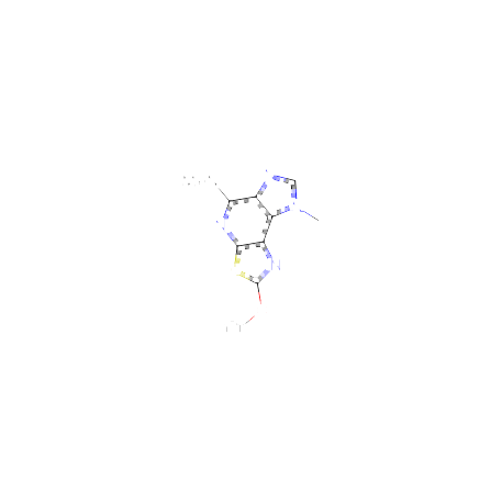 CCCOc1nc2c(nc(NC)c3ncn(C)c32)s1